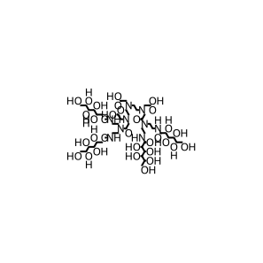 O=C(O)CN(CCN(CC(=O)O)CC(=O)N(CCNOCC(O)C(O)C(O)C(O)CO)CCNOCC(O)C(O)C(O)C(O)CO)CCN(CC(=O)O)CC(=O)N(CCNC(=O)C(O)C(O)C(O)C(O)CO)CCNC(=O)C(O)C(O)C(O)C(O)CO